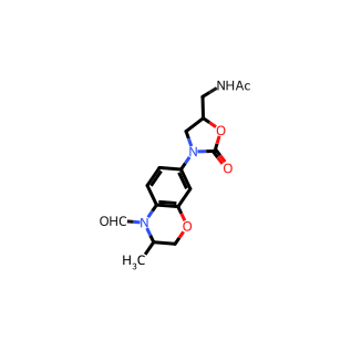 CC(=O)NCC1CN(c2ccc3c(c2)OCC(C)N3C=O)C(=O)O1